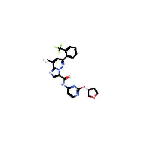 Cc1cc(-c2ccccc2C(F)(F)F)nn2c(C(=O)Nc3ccnc(O[C@@H]4CCOC4)n3)cnc12